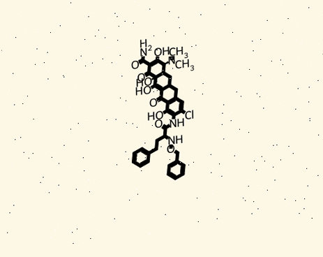 CN(C)[C@@H]1C(O)=C(C(N)=O)C(=O)[C@@]2(O)C(O)=C3C(=O)c4c(cc(Cl)c(NC(=O)C(CCc5ccccc5)NOCc5ccccc5)c4O)CC3CC12